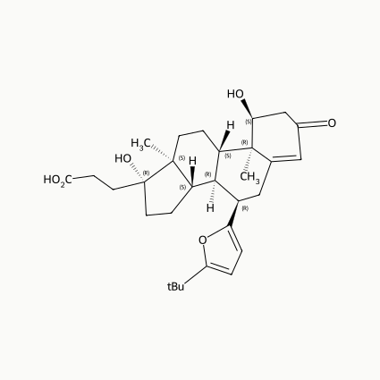 CC(C)(C)c1ccc([C@@H]2CC3=CC(=O)C[C@H](O)[C@]3(C)[C@H]3CC[C@@]4(C)[C@@H](CC[C@@]4(O)CCC(=O)O)[C@H]23)o1